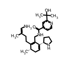 C/C(=C/N)CCC1=C(CNC(=O)c2ccnc(C(C)(C)O)c2)C([C@@H]2CCCN2)=CC[C@@H]1C